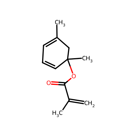 C=C(C)C(=O)OC1(C)C=CC=C(C)C1